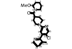 CO[C@@H]1CCCCN1C(=O)C1CCN(c2cc(-c3ncccc3C)c(Cl)cn2)CC1